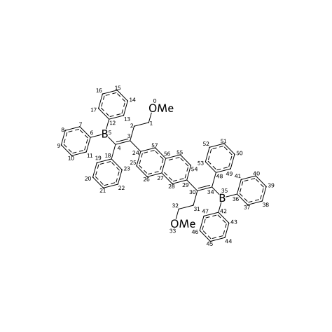 COCC/C(=C(\B(c1ccccc1)c1ccccc1)c1ccccc1)c1ccc2cc(/C(CCOC)=C(/B(c3ccccc3)c3ccccc3)c3ccccc3)ccc2c1